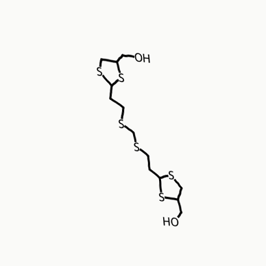 OCC1CSC(CCSCSCCC2SCC(CO)S2)S1